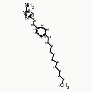 CCCCCCCCCCCCc1ccc(CSc2nnc(N)s2)cc1